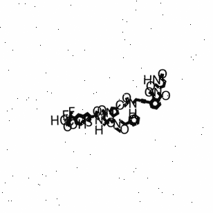 CC(C)(C)[C@H](NC(=O)c1cc2cc(C(F)(F)P(=O)(O)O)ccc2s1)C(=O)N1C[C@@H](OCC(=O)NCC#Cc2cccc3c2C(=O)N(C2CCC(=O)NC2=O)C3=O)C[C@H]1C(=O)N1CCOC(c2ccccc2)C1